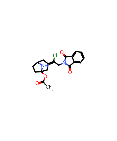 O=C1c2ccccc2C(=O)N1CC(Cl)=C1CC2CCC(OC(=O)C(F)(F)F)(C1)N2